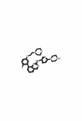 Fc1ccc(OCCN2CCOCC2)cc1-c1cccc2cnc(Nc3ccc(N4CCNCC4)nc3)nc12